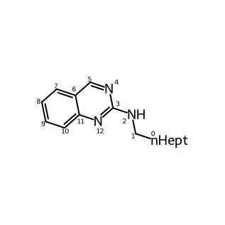 CCCCCCCCNc1ncc2ccccc2n1